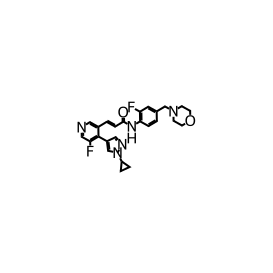 O=C(C=Cc1cncc(F)c1-c1cnn(C2CC2)c1)Nc1ccc(CN2CCOCC2)cc1F